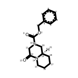 O=C(OCc1ccccc1)N1CC(=O)N2CCCC[C@@H]2C1